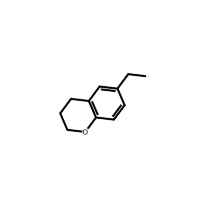 [CH2]Cc1ccc2c(c1)CCCO2